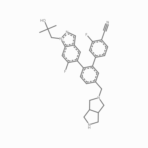 CC(C)(O)Cn1ncc2cc(-c3ccc(CN4CC5CNCC5C4)cc3-c3ccc(C#N)c(F)c3)c(F)cc21